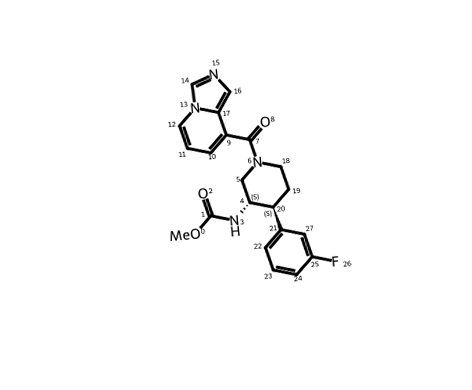 COC(=O)N[C@@H]1CN(C(=O)c2cccn3cncc23)CC[C@H]1c1cccc(F)c1